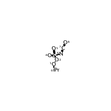 CC(C)OOS(=O)(=O)N=C=O